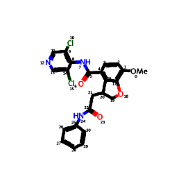 COc1ccc(C(=O)Nc2c(Cl)cncc2Cl)c2c1OCC2CC(=O)Nc1ccccc1